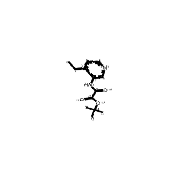 CCc1ccncc1NC(=O)C(=O)OC(C)(C)C